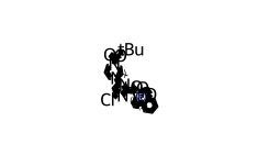 C[C@H]1CN(C(=O)OC(C)(C)C)CCCN1c1cc(Cl)nc(C(=O)[C@@H]2CCC[C@@]3(CCCCC34OCCO4)/C2=N/O)n1